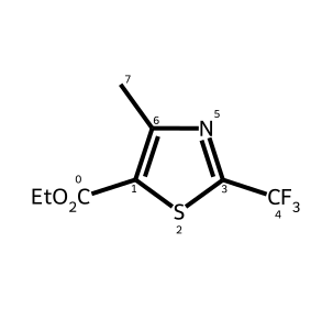 CCOC(=O)c1sc(C(F)(F)F)nc1C